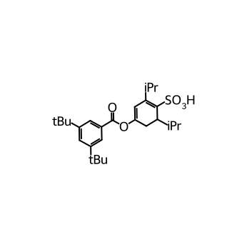 CC(C)C1=C(S(=O)(=O)O)C(C(C)C)CC(OC(=O)c2cc(C(C)(C)C)cc(C(C)(C)C)c2)=C1